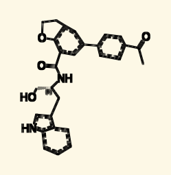 CC(=O)c1ccc(-c2cc3c(c(C(=O)N[C@@H](CO)Cc4c[nH]c5ccccc45)c2)OCC3)cc1